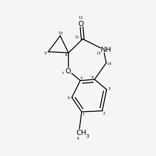 Cc1ccc2c(c1)OC1(CC1)C(=O)NC2